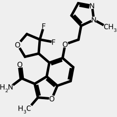 Cc1oc2ccc(OCc3ccnn3C)c(C3COCC3(F)F)c2c1C(N)=O